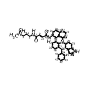 CN(C)CCCNC(=O)C=CC(=O)Nc1ccc2ncnc(N(c3ccc4[nH]ncc4c3)c3ccccc3Cc3ccccc3)c2c1